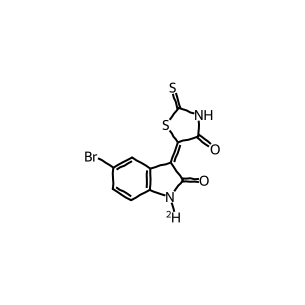 [2H]N1C(=O)C(=C2SC(=S)NC2=O)c2cc(Br)ccc21